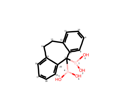 OB(O)C1(B(O)O)c2ccccc2CCc2ccccc21